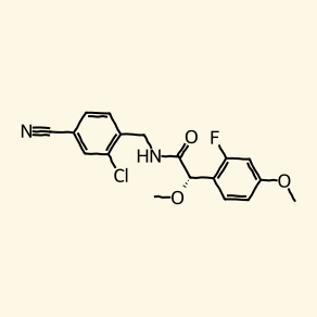 COc1ccc([C@H](OC)C(=O)NCc2ccc(C#N)cc2Cl)c(F)c1